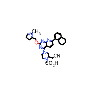 CN1CCCC1COc1nc(N2CCN(C(=O)O)C(CC#N)C2)c2ccc(-c3cccc4c3CCCC4)nc2n1